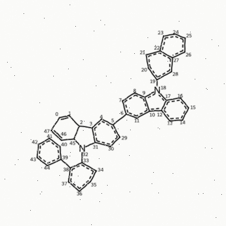 C1=CC2c3cc(-c4ccc5c(c4)c4ccccc4n5-c4ccc5ccccc5c4)ccc3N(c3ccccc3-c3ccccc3)C2C=C1